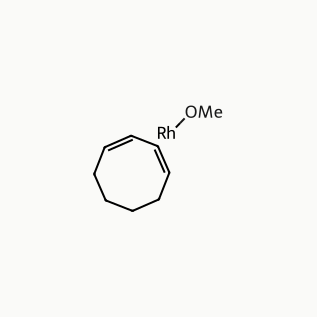 C1=C\CCCC\C=C/1.C[O][Rh]